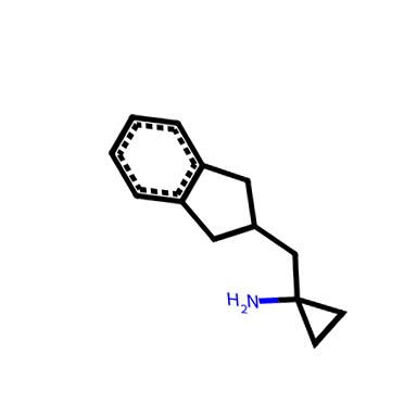 NC1(CC2Cc3ccccc3C2)CC1